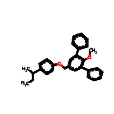 CCC(C)c1ccc(OCc2cc(-c3ccccc3)c(OC)c(-c3ccccc3)c2)cc1